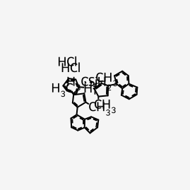 CC1=[C]([Hf]([CH3])(=[SiH2])([C]2=C(C)C(c3cccc4ccccc34)=CC2C)[c]2ccccc2)C(C)C=C1c1cccc2ccccc12.Cl.Cl